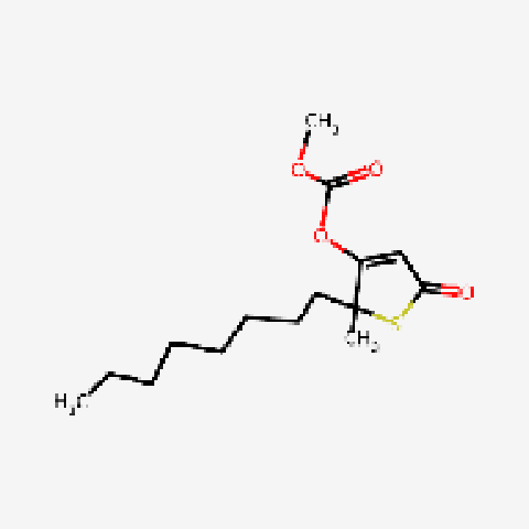 CCCCCCCCC1(C)SC(=O)C=C1OC(=O)OC